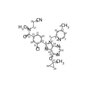 Cc1ccnc(Cn2c(-c3ccc(C(=O)N(C)CCC#N)cc3Cl)nc3c(OC4(C)CC4)ncnc32)c1